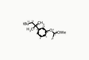 COC(I)Oc1cccc(C(C)(C)CC(C)(C)C)c1